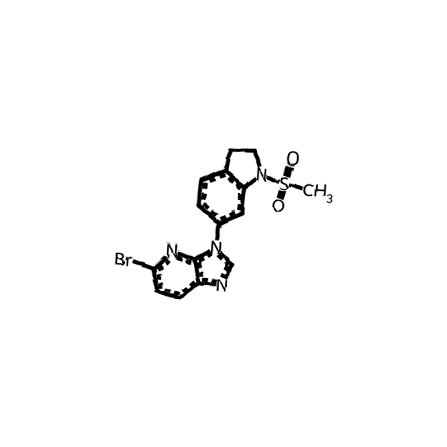 CS(=O)(=O)N1CCc2ccc(-n3cnc4ccc(Br)nc43)cc21